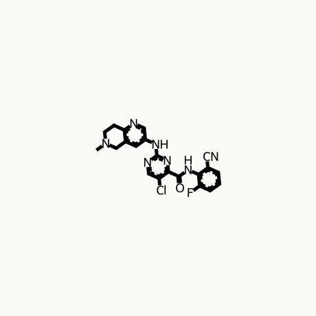 CN1CCc2ncc(Nc3ncc(Cl)c(C(=O)Nc4c(F)cccc4C#N)n3)cc2C1